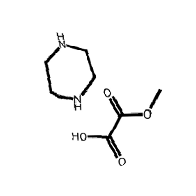 C1CNCCN1.COC(=O)C(=O)O